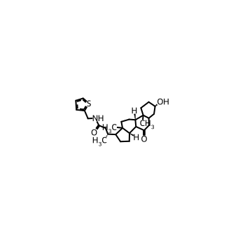 C[C@H](CC(=O)NCc1cccs1)C1CC[C@H]2C3C(=O)CC4C[C@H](O)CCC4(C)[C@H]3CCC12C